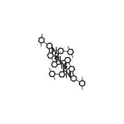 Cc1ccc(C)c(-c2ccc3c(c2)B2c4c(ccc5c6cc(-c7cc(C)ccc7C)ccc6n-3c45)-c3cccc4c3n2c2c3cccc5c3n(c42)B2c3cc(-c4cc(C)ccc4C)ccc3-n3c4ccc(-c6cc(C)ccc6C)cc4c4ccc-5c2c43)c1